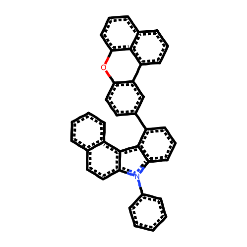 c1ccc(-n2c3cccc(-c4ccc5c(c4)-c4cccc6cccc(c46)O5)c3c3c4ccccc4ccc32)cc1